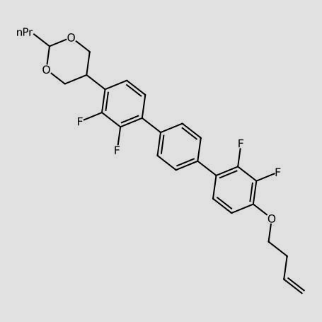 C=CCCOc1ccc(-c2ccc(-c3ccc(C4COC(CCC)OC4)c(F)c3F)cc2)c(F)c1F